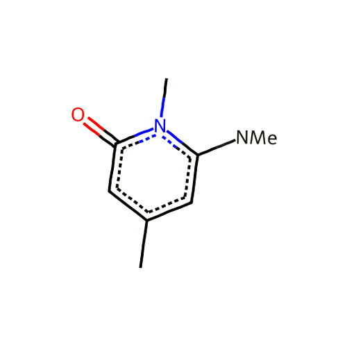 CNc1cc(C)cc(=O)n1C